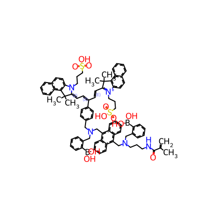 C=C(C)C(=O)NCCCN(Cc1ccccc1B(O)O)Cc1c2ccccc2c(CN(Cc2ccc(C(=C\C=C3/N(CCCS(=O)(=O)O)c4ccc5ccccc5c4C3(C)C)/C=C/C3=[N+](CCCS(=O)(=O)O)c4ccc5ccccc5c4C3(C)C)cc2)Cc2ccccc2B(O)O)c2ccccc12